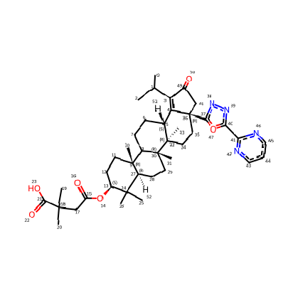 CC(C)C1=C2[C@H]3CCC4[C@@]5(C)CC[C@H](OC(=O)CC(C)(C)C(=O)O)C(C)(C)[C@@H]5CC[C@@]4(C)[C@]3(C)CC[C@@]2(c2nnc(-c3ncccn3)o2)CC1=O